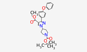 CCOC(=O)c1cn(C2CCN(C(=O)OC(C)(C)C)CC2)nc1-c1ccc(Oc2ccccc2)cc1